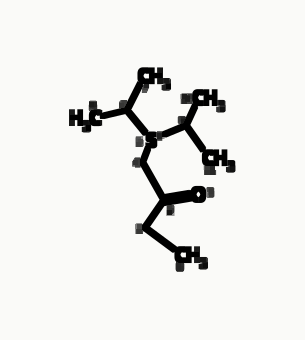 CCC(=O)C[S+](C(C)C)C(C)C